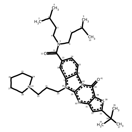 CC(C)CCN(CCC(C)C)C(=O)c1ccc2c(c1)n(CCCN1CCCCC1)c1nc3cc(C(C)(C)C)sc3c(=O)n21